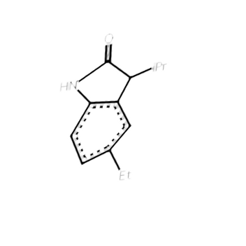 CCc1ccc2c(c1)C(C(C)C)C(=O)N2